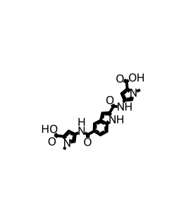 Cn1cc(NC(=O)c2ccc3[nH]c(C(=O)Nc4cc(C(=O)O)n(C)c4)cc3c2)cc1C(=O)O